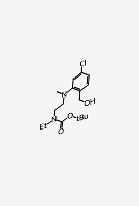 CCN(CCN(C)c1cc(Cl)ccc1CO)C(=O)OC(C)(C)C